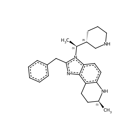 C[C@H]1CCc2c(ccc3c2nc(Cc2ccccc2)n3[C@@H](C)[C@@H]2CCCNC2)N1